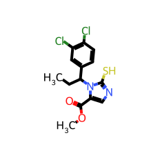 CCC(c1ccc(Cl)c(Cl)c1)n1c(C(=O)OC)cnc1S